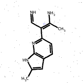 C/C(N)=C(/C=N)c1ccc2cc(C)[nH]c2n1